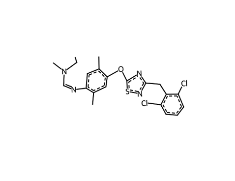 CCN(C)/C=N\c1cc(C)c(Oc2nc(Cc3c(Cl)cccc3Cl)ns2)cc1C